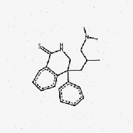 CC(CN(C)C)CC1(c2ccccc2)CNC(=S)c2ccccc21